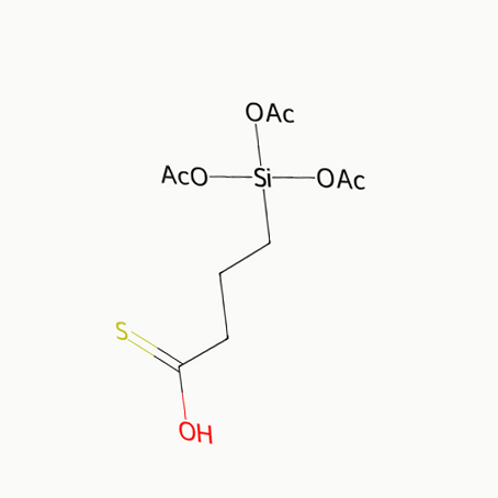 CC(=O)O[Si](CCCC(O)=S)(OC(C)=O)OC(C)=O